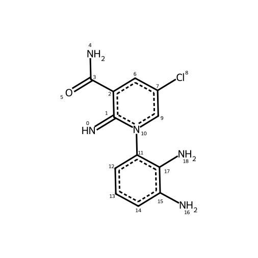 N=c1c(C(N)=O)cc(Cl)cn1-c1cccc(N)c1N